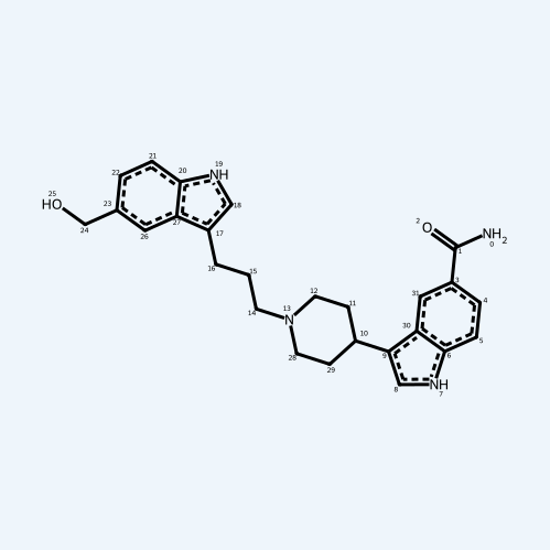 NC(=O)c1ccc2[nH]cc(C3CCN(CCCc4c[nH]c5ccc(CO)cc45)CC3)c2c1